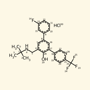 CC(C)(C)NCc1cc(-c2cccc(F)c2)cc(-c2ccc(C(F)(F)F)nc2)c1O.Cl